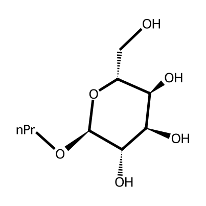 CCCO[C@H]1O[C@H](CO)[C@@H](O)[C@@H](O)[C@@H]1O